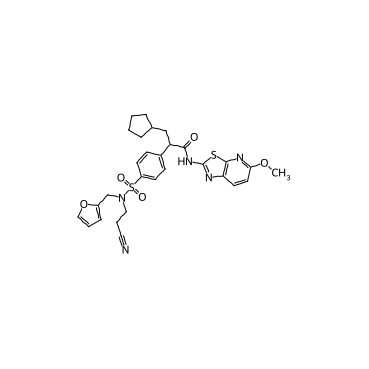 COc1ccc2nc(NC(=O)C(CC3CCCC3)c3ccc(S(=O)(=O)N(CCC#N)Cc4ccco4)cc3)sc2n1